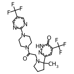 CC1(c2cc(C(F)(F)F)c(=O)[nH]n2)CCCN1CC(=O)N1CCN(c2ncc(C(F)(F)F)cn2)CC1